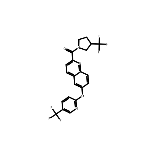 O=C(c1ccc2cc(Oc3ccc(C(F)(F)F)cn3)ccc2n1)N1CCC(C(F)(F)F)C1